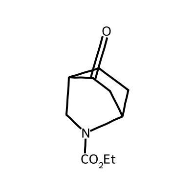 CCOC(=O)N1CC2CCC1CC2=O